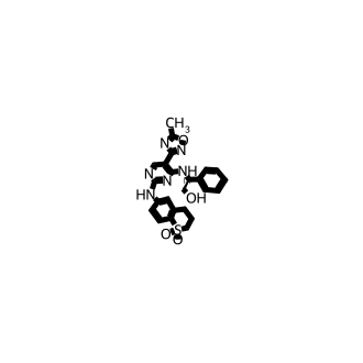 Cc1nc(-c2cnc(Nc3ccc4c(c3)CCCS4(=O)=O)nc2N[C@H](CO)c2ccccc2)no1